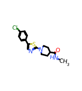 CNC(=O)C1CCN(c2ncc(-c3ccc(Cl)cc3)s2)CC1